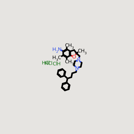 Cc1c(C)c2c(c(C)c1N)CC(C)(CN1CCN(CCCC(c3ccccc3)c3ccccc3)CC1)O2.Cl.Cl.Cl